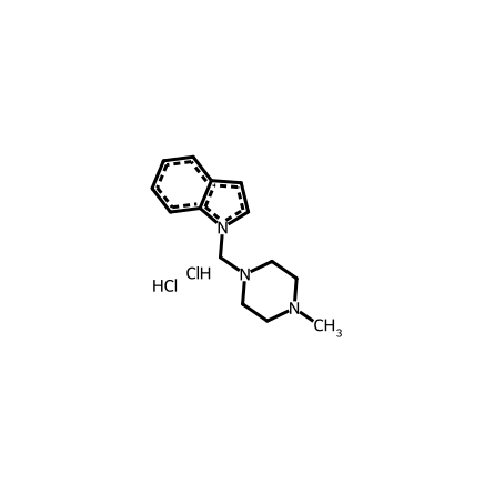 CN1CCN(Cn2ccc3ccccc32)CC1.Cl.Cl